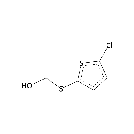 OCSc1ccc(Cl)s1